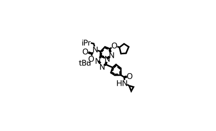 CC(C)CN(C(=O)OC(C)(C)C)c1cc(OC2CCCC2)nn2c(-c3ccc(C(=O)NC4CC4)cc3)nnc12